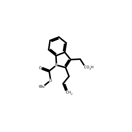 C=CCc1c(CC(=O)O)c2ccccc2n1C(=O)OC(C)(C)C